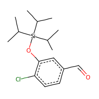 CC(C)[Si](Oc1cc(C=O)ccc1Cl)(C(C)C)C(C)C